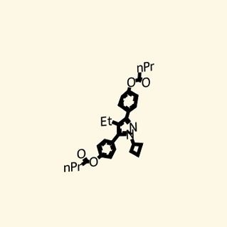 CCCC(=O)Oc1ccc(-c2nn(C3CCC3)c(-c3ccc(OC(=O)CCC)cc3)c2CC)cc1